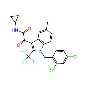 Cc1ccc2c(c1)c(C(=O)C(=O)NC1CC1)c(C(F)(F)F)n2Cc1ccc(Cl)cc1Cl